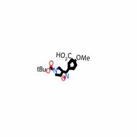 COc1ccc(C2=NOC3CN(C(=O)OC(C)(C)C)CC23)cc1C(=O)O